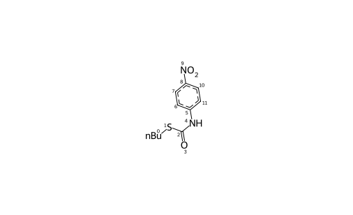 CCCCSC(=O)Nc1ccc([N+](=O)[O-])cc1